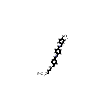 CCOC(=O)CCCNCc1ccc(/C=C/c2ccc(/C=C/c3ccc([N+](=O)[O-])cc3)cc2)cc1